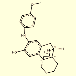 COc1ccc(Nc2cc3c(cc2O)[C@]24CCCC[C@@H]2[C@H](C3)NCC4)cc1